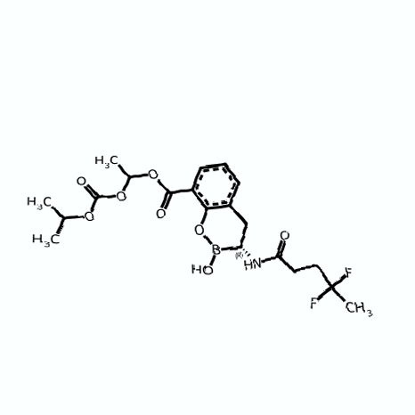 CC(C)OC(=O)OC(C)OC(=O)c1cccc2c1OB(O)[C@@H](NC(=O)CCC(C)(F)F)C2